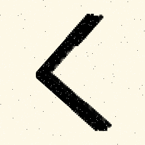 [Na+].[Na+].[Na+].[Na+].[Na+].[Na+].[Na+].[Na+].[Na+].[Na+].[Na+].[Na+].[Na+].[Na+].[Na+].[Na+].[Na+].[Na+].[Na+].[Na+].[Na+].[Na+].[Na+].[Na+].[Na+].[Na+].[Na+].[Na+].[Na+].[Na+].[O-2].[O-2].[O-2].[O-2].[O-2].[O-2].[O-2].[O-2].[O-2].[O-2].[O-2].[O-2].[O-2].[O-2].[O-2].[O-2].[O-2].[O-2].[O-2].[O-2].[O-2].[O-2].[O-2].[O-2].[O-2].[O-2].[O-2].[O-2].[O-2].[O-2].[O-2].[O-2].[O-2].[O-2].[O-2].[O-2].[O-2].[O-2].[O-2].[O-2]